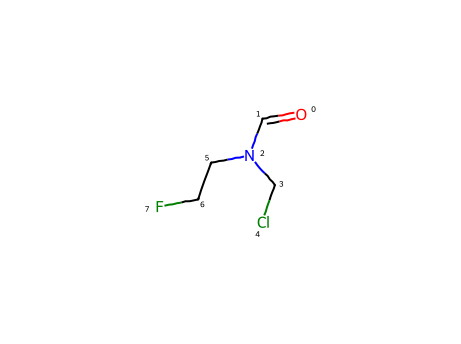 O=CN(CCl)CCF